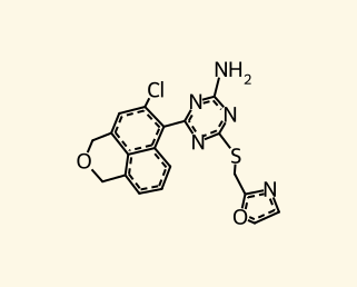 Nc1nc(SCc2ncco2)nc(-c2c(Cl)cc3c4c(cccc24)COC3)n1